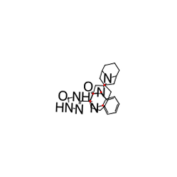 O=c1[nH]nc(-c2nc3ccccc3n(C3CC4CCCC(C3)N4C3CC4CCCCC(C4)C3)c2=O)[nH]1